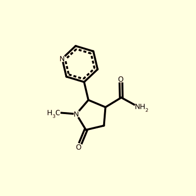 CN1C(=O)CC(C(N)=O)C1c1cccnc1